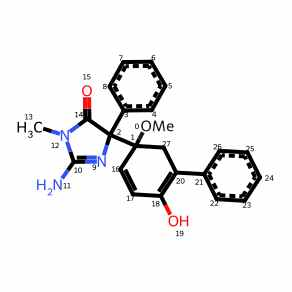 COC1(C2(c3ccccc3)N=C(N)N(C)C2=O)C=CC(O)=C(c2ccccc2)C1